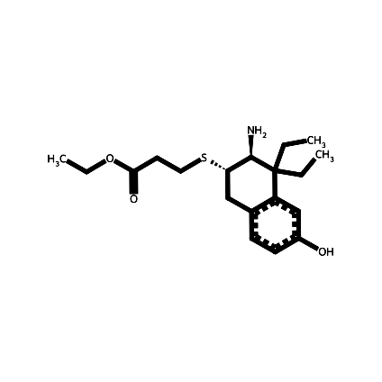 CCOC(=O)CCS[C@H]1Cc2ccc(O)cc2C(CC)(CC)[C@@H]1N